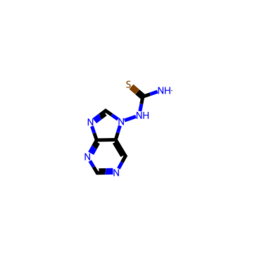 [NH]C(=S)Nn1cnc2ncncc21